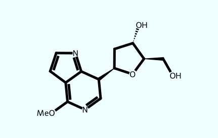 COC1=C2C=CN=C2C([C@H]2C[C@H](O)[C@@H](CO)O2)C=N1